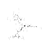 COC(CCNc1nc(NCCCCCCO)nc(NCCC(C2CC(C)(C)NC(C)(C)C2)N(C)C)n1)C1CC(C)(C)NC(C)(C)C1